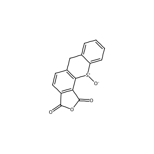 O=C1OC(=O)c2c1ccc1c2[S+]([O-])c2ccccc2C1